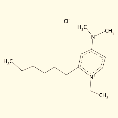 CCCCCCc1cc(N(C)C)cc[n+]1CC.[Cl-]